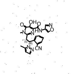 Cc1ccnn1[C@@H](c1ccccc1C#N)[C@H](C)c1nc(C(=O)Nc2cnoc2)c(O)c(=O)n1C